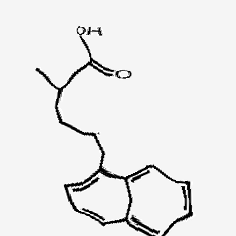 CC(C[CH]c1cccc2ccccc12)C(=O)O